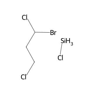 ClCCC(Cl)Br.[SiH3]Cl